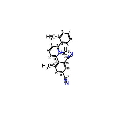 Cc1ccccc1-c1cccc(-c2c(C)cc(C#N)cc2C#N)[n+]1C